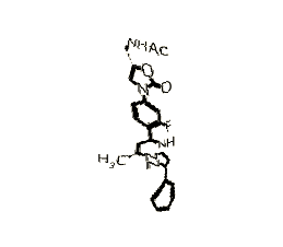 CC(=O)NC[C@H]1CN(c2ccc(C(=N)C[C@H](C)n3ccc(-c4ccccc4)n3)c(F)c2)C(=O)O1